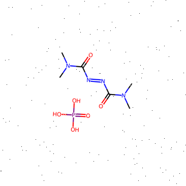 CN(C)C(=O)N=NC(=O)N(C)C.O=P(O)(O)O